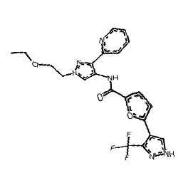 CCOCCn1cc(NC(=O)c2ccc(-c3c[nH]nc3C(F)(F)F)o2)c(-c2ccccn2)n1